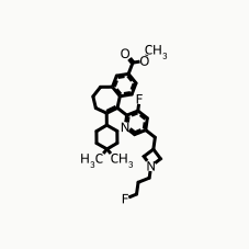 COC(=O)c1ccc2c(c1)CCCC(C1CCC(C)(C)CC1)=C2c1ncc(CC2CN(CCCF)C2)cc1F